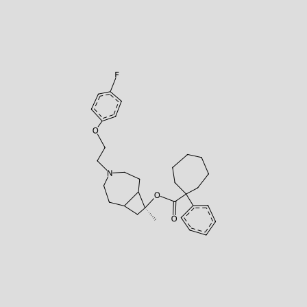 C[C@]1(OC(=O)C2(c3ccccc3)CCCCCC2)CC2CCN(CCOc3ccc(F)cc3)CCC21